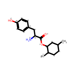 CC1CCC(C(C)C)C(OC(=O)C(N)Cc2ccc(O)cc2)C1